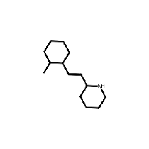 CC1CCCCC1CCC1CCCCN1